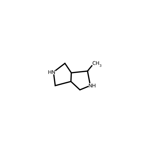 C[C]1NCC2CNCC12